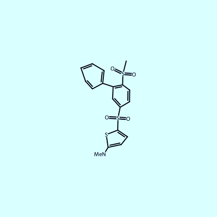 CNc1ccc(S(=O)(=O)c2ccc(S(C)(=O)=O)c(-c3ccccc3)c2)s1